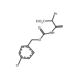 C=C(NC(=O)OCc1ccc(Cl)cc1)C(C(C)=O)C(=O)OCC